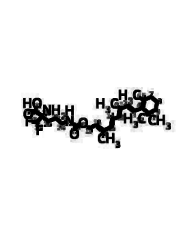 CC(C=CC1=C(C)CCCC1(C)C)=CC=CC(C)=CCOC(=O)NCCCC(N)(C(=O)O)C(F)F